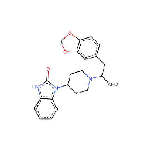 O=CC(Cc1ccc2c(c1)OCO2)N1CCC(n2c(=O)[nH]c3ccccc32)CC1